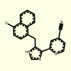 N#Cc1ccnc(-c2nc[nH]c2Cc2ccc(F)c3ccccc23)c1